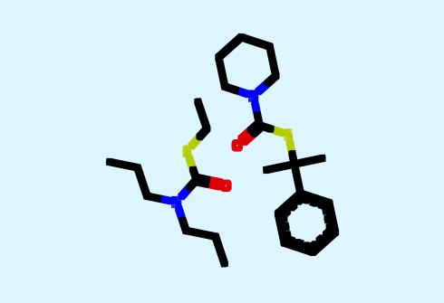 CC(C)(SC(=O)N1CCCCC1)c1ccccc1.CCCN(CCC)C(=O)SCC